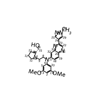 COc1cc(OC)cc(N(CCN2CCC[C@@H]2CO)c2ccc3ncc(-c4cnn(C)c4)nc3c2)c1